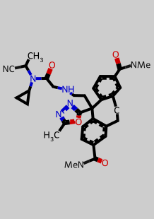 CNC(=O)c1ccc2c(c1)CCc1cc(C(=O)NC)ccc1C2(CCNCC(=O)N(C(C)C#N)C1CC1)c1nnc(C)o1